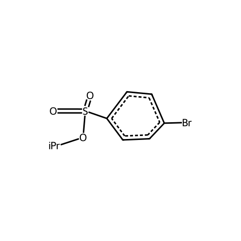 CC(C)OS(=O)(=O)c1ccc(Br)cc1